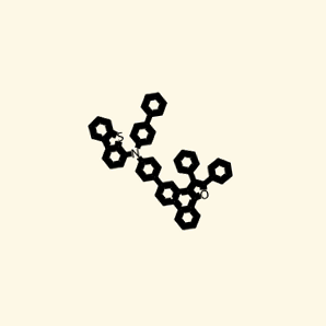 c1ccc(-c2ccc(N(c3ccc(-c4ccc5c6ccccc6c6oc(-c7ccccc7)c(-c7ccccc7)c6c5c4)cc3)c3cccc4c3sc3ccccc34)cc2)cc1